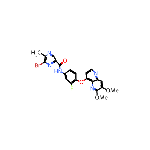 COc1cc2nccc(Oc3ccc(NC(=O)c4cnc(C)c(Br)n4)cc3F)c2nc1OC